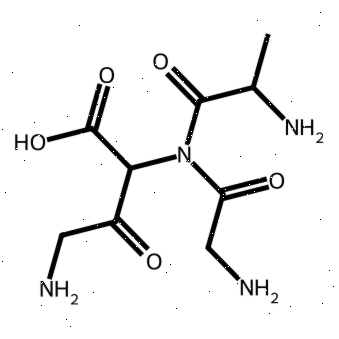 CC(N)C(=O)N(C(=O)CN)C(C(=O)O)C(=O)CN